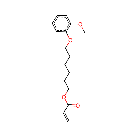 C=CC(=O)OCCCCCCOc1ccccc1OC